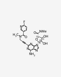 CNC(=O)[C@H]1O[C@@H](n2cnc3c(N)nc(C#CCN(C)C(=O)c4ccc(F)nc4)nc32)[C@H](O)[C@@H]1O